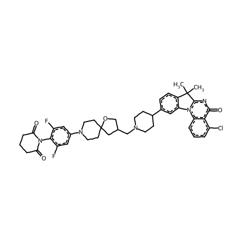 CC1(C)c2ccc(C3CCN(CC4COC5(CCN(c6cc(F)c(N7C(=O)CCCC7=O)c(F)c6)CC5)C4)CC3)cc2-n2c1nc(=O)c1c(Cl)cccc12